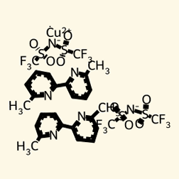 Cc1cccc(-c2cccc(C)n2)n1.Cc1cccc(-c2cccc(C)n2)n1.O=S(=O)([N-]S(=O)(=O)C(F)(F)F)C(F)(F)F.O=S(=O)([N-]S(=O)(=O)C(F)(F)F)C(F)(F)F.[Cu+2]